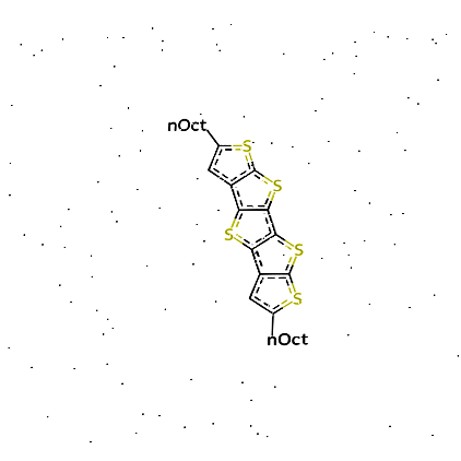 CCCCCCCCc1cc2c(s1)sc1c2sc2c3cc(CCCCCCCC)sc3sc21